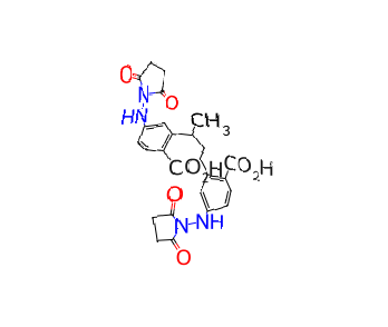 CC(CCc1cc(NN2C(=O)CCC2=O)ccc1C(=O)O)c1cc(NN2C(=O)CCC2=O)ccc1C(=O)O